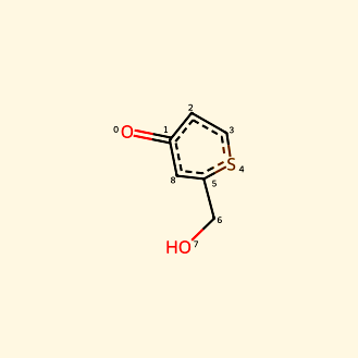 O=c1ccsc(CO)c1